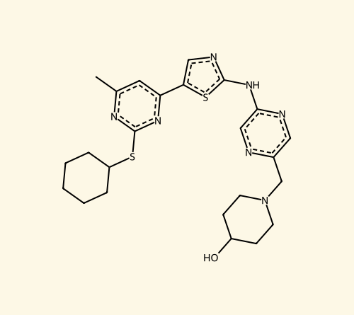 Cc1cc(-c2cnc(Nc3cnc(CN4CCC(O)CC4)cn3)s2)nc(SC2CCCCC2)n1